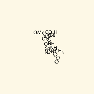 COC[C@H](C(=O)N1CCC[C@@H](NC(=O)c2sc3nccc4c3c2NC(=O)N4c2ccc(Oc3ccccc3)cc2C)C1)N(C(=O)O)C(C)(C)C